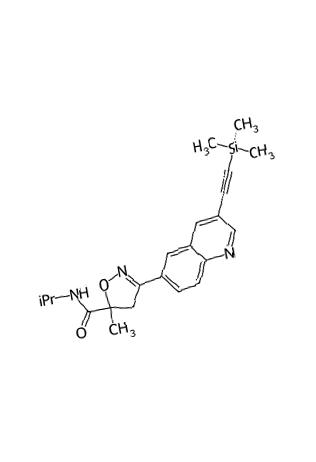 CC(C)NC(=O)C1(C)CC(c2ccc3ncc(C#C[Si](C)(C)C)cc3c2)=NO1